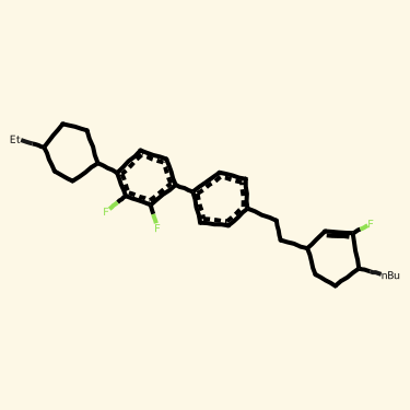 CCCCC1CCC(CCc2ccc(-c3ccc(C4CCC(CC)CC4)c(F)c3F)cc2)C=C1F